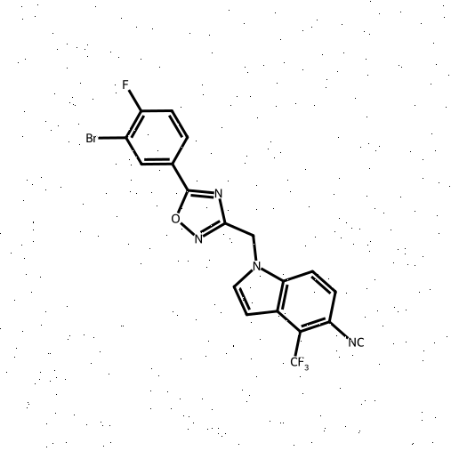 [C-]#[N+]c1ccc2c(ccn2Cc2noc(-c3ccc(F)c(Br)c3)n2)c1C(F)(F)F